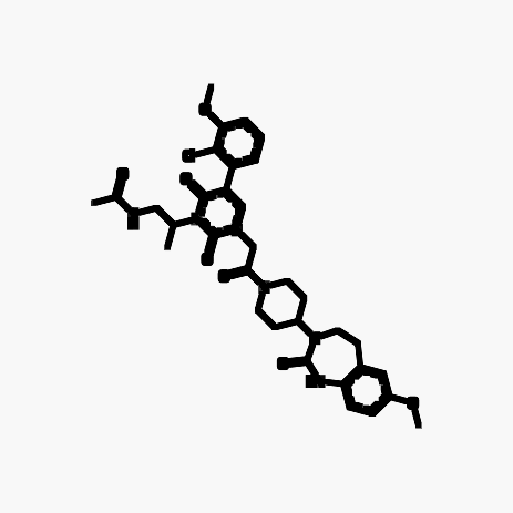 COc1ccc2c(c1)CCN(C1CCN(C(=O)Cn3cc(-c4cccc(OC)c4Cl)c(=O)n(C(C)CNC(C)=O)c3=O)CC1)C(=O)N2